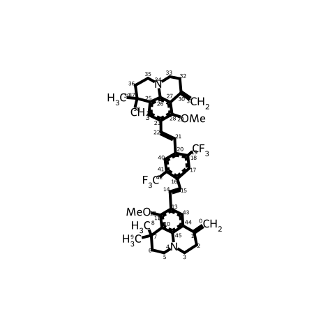 C=C1CCN2CCC(C)(C)c3c(OC)c(C=Cc4cc(C(F)(F)F)c(C=Cc5cc6c7c(c5OC)C(=C)CCN7CCC6(C)C)cc4C(F)(F)F)cc1c32